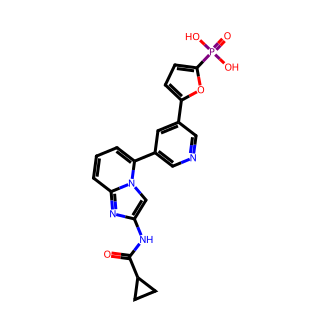 O=C(Nc1cn2c(-c3cncc(-c4ccc(P(=O)(O)O)o4)c3)cccc2n1)C1CC1